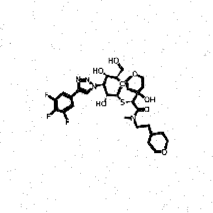 CN(CCC1CCOCC1)C(=O)[C@H](S[C@@H]1O[C@H](CO)[C@H](O)[C@H](n2cc(-c3cc(F)c(F)c(F)c3)nn2)[C@H]1O)C1(O)CCOCC1